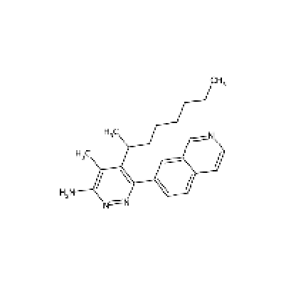 CCCCCCC(C)c1c(-c2ccc3ccncc3c2)nnc(N)c1C